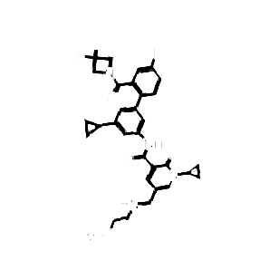 COCCNCc1cc(C(=O)Nc2cc(-c3ccc(F)cc3C(=O)N3CC(F)(F)C3)cc(C3CC3)c2)c(=O)n(C2CC2)c1